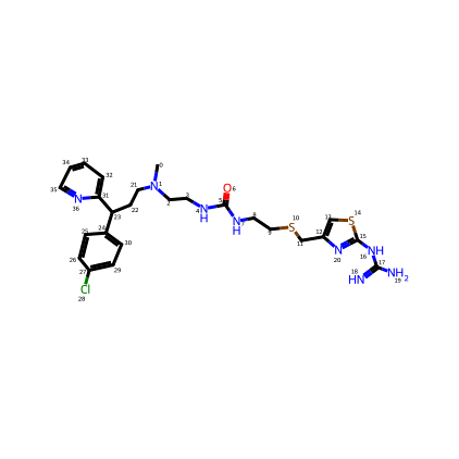 CN(CCNC(=O)NCCSCc1csc(NC(=N)N)n1)CCC(c1ccc(Cl)cc1)c1ccccn1